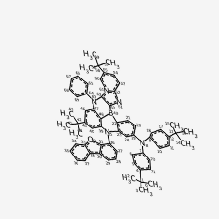 CC(C)(C)c1ccc(N(c2ccc(C(C)(C)C)cc2)c2ccc3c(c2)N(c2cccc4c2oc2ccccc24)c2cc(C(C)(C)C)cc4c2B3c2nc3ccc(C(C)(C)C)cn3c2N4c2ccccc2)cc1